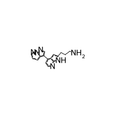 NCCCc1cc2c(-c3cnn4ncccc34)ccnc2[nH]1